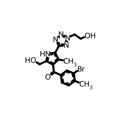 Cc1ccc(C(=O)c2c(CO)[nH]c(-c3nnn(CCO)n3)c2C)cc1Br